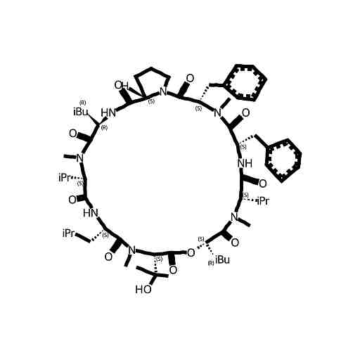 CC[C@@H](C)[C@@H]1OC(=O)[C@H](C(C)(C)O)N(C)C(=O)[C@H](CC(C)C)NC(=O)[C@H](C(C)C)N(C)C(=O)[C@@H]([C@H](C)CC)NC(=O)[C@@H]2CCCN2C(=O)[C@H](Cc2ccccc2)N(C)C(=O)[C@H](Cc2ccccc2)NC(=O)[C@H](C(C)C)N(C)C1=O